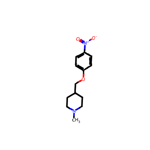 CN1CCC(COc2ccc([N+](=O)[O-])cc2)CC1